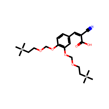 C[Si](C)(C)CCOCOc1ccc(C=C(C#N)C(=O)O)cc1OCOCC[Si](C)(C)C